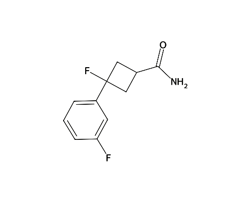 NC(=O)C1CC(F)(c2cccc(F)c2)C1